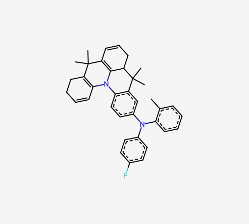 Cc1ccccc1N(c1ccc(F)cc1)c1ccc2c(c1)C(C)(C)C1CC=CC3=C1N2C1=C(CCC=C1)C3(C)C